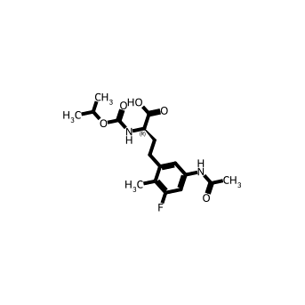 CC(=O)Nc1cc(F)c(C)c(CC[C@@H](NC(=O)OC(C)C)C(=O)O)c1